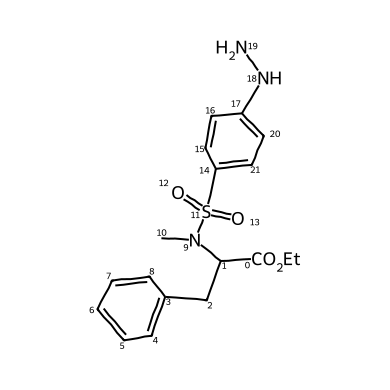 CCOC(=O)C(Cc1ccccc1)N(C)S(=O)(=O)c1ccc(NN)cc1